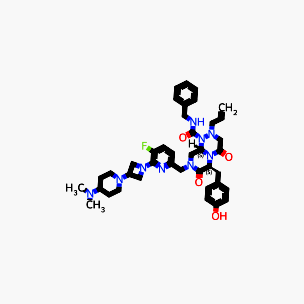 C=CCN1CC(=O)N2[C@@H](Cc3ccc(O)cc3)C(=O)N(Cc3ccc(F)c(N4CC(N5CCC(N(C)C)CC5)C4)n3)C[C@@H]2N1C(=O)NCc1ccccc1